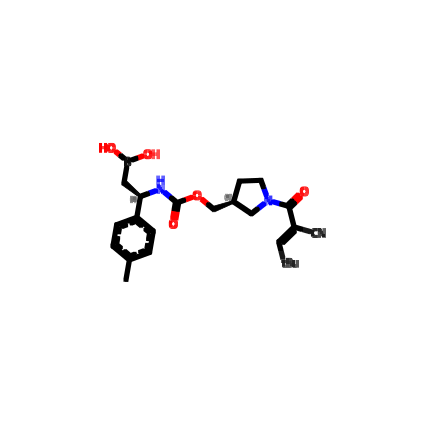 Cc1ccc([C@@H](CB(O)O)NC(=O)OC[C@H]2CCN(C(=O)C(C#N)=CC(C)(C)C)C2)cc1